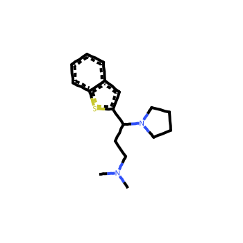 CN(C)CCC(c1cc2ccccc2s1)N1CCCC1